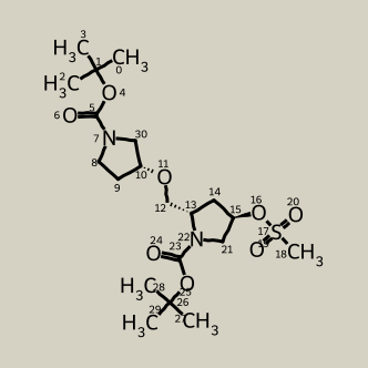 CC(C)(C)OC(=O)N1CC[C@@H](OC[C@@H]2C[C@@H](OS(C)(=O)=O)CN2C(=O)OC(C)(C)C)C1